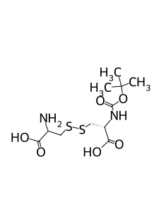 CC(C)(C)OC(=O)N[C@@H](CSSCC(N)C(=O)O)C(=O)O